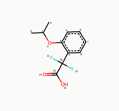 CC(C)Oc1ccccc1C(F)(F)C(=O)O